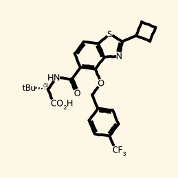 CC(C)(C)[C@H](NC(=O)c1ccc2sc(C3CCC3)nc2c1OCc1ccc(C(F)(F)F)cc1)C(=O)O